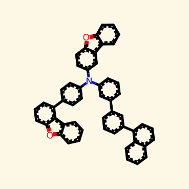 c1cc(-c2cccc(N(c3ccc(-c4cccc5oc6ccccc6c45)cc3)c3ccc4oc5ccccc5c4c3)c2)cc(-c2cccc3ccccc23)c1